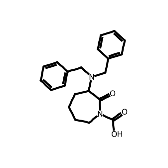 O=C(O)N1CCCCC(N(Cc2ccccc2)Cc2ccccc2)C1=O